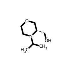 CC(C)N1CCOC[C@@H]1CO